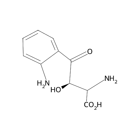 Nc1ccccc1C(=O)[C@H](O)C(N)C(=O)O